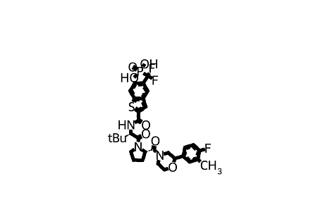 Cc1cc(C2CN(C(=O)[C@@H]3CCCN3C(=O)[C@@H](NC(=O)c3cc4cc(C(F)(F)P(=O)(O)O)ccc4s3)C(C)(C)C)CCO2)ccc1F